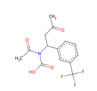 CC(=O)CC(c1cccc(C(F)(F)F)c1)N(C(C)=O)C(=O)O